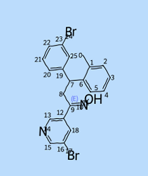 Cc1ccccc1C(C/C(=N\O)c1cncc(Br)c1)c1cccc(Br)c1